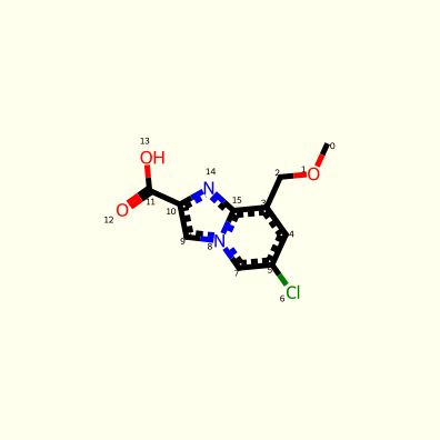 COCc1cc(Cl)cn2cc(C(=O)O)nc12